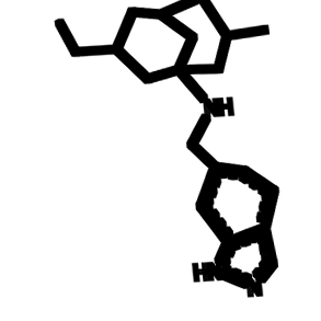 CCC1CC2CC(C)CC(NCc3ccc4cn[nH]c4c3)(C1)C2